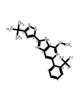 COc1nc(-c2ccccc2C(F)(F)F)cc2nc(-c3cc(C(C)(C)C)no3)[nH]c12